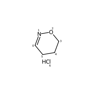 C1=NOCCC1.Cl